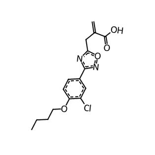 C=C(Cc1nc(-c2ccc(OCCCC)c(Cl)c2)no1)C(=O)O